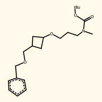 CN(CCCOC1CC(COCc2ccccc2)C1)C(=O)OC(C)(C)C